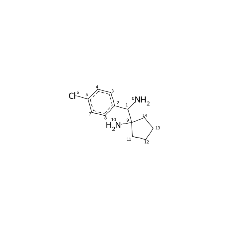 NC(c1ccc(Cl)cc1)C1(N)CCCC1